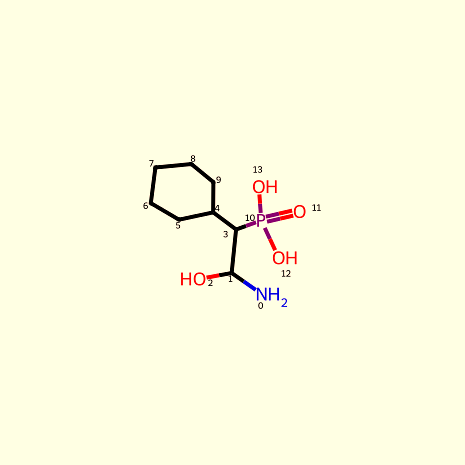 NC(O)C(C1CCCCC1)P(=O)(O)O